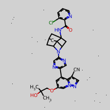 CC(C)(O)COc1cc(-c2cnc(N3C4CC5CC6(NC(=O)c7ncccc7Cl)CC3C46C5)cn2)c2c(C#N)cnn2c1